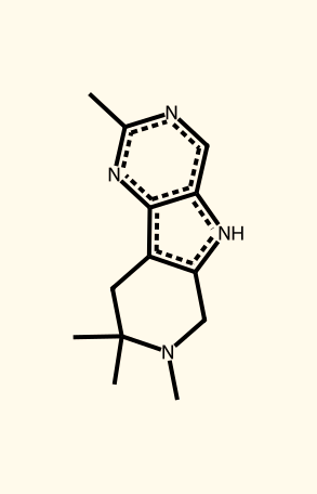 Cc1ncc2[nH]c3c(c2n1)CC(C)(C)N(C)C3